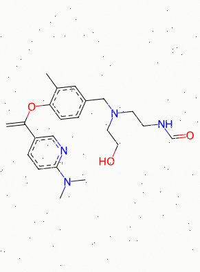 C=C(Oc1ccc(CN(CCO)CCNC=O)cc1C)c1ccc(N(C)C)nc1